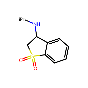 CC(C)NC1CS(=O)(=O)c2ccccc21